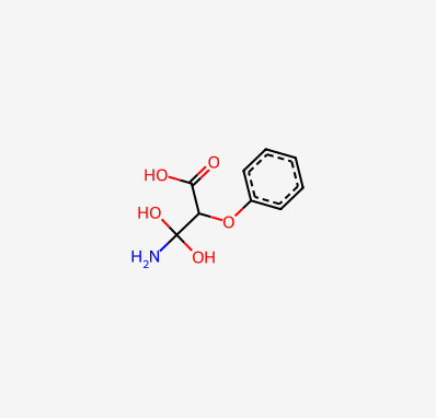 NC(O)(O)C(Oc1ccccc1)C(=O)O